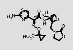 Nc1nc(/C(=N/OC2(C(=O)O)CC2)C(=O)N[C@H]2C3OC2(CN2CCOC2=O)N3S(=O)(=O)O)cs1